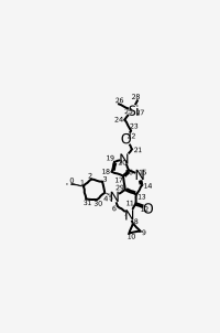 [CH2][C@H]1CC[C@H](N2CN(C3CC3)C(=O)c3cnc4c(ccn4COCC[Si](C)(C)C)c32)CC1